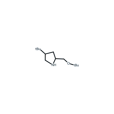 CC(C)(C)OCC1CC(C(C)(C)C)CN1